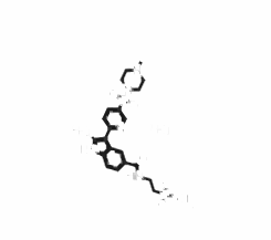 CN1CCN(S(=O)(=O)c2ccc(-c3c(O)[nH]c4ccc(C(=O)NCCS(N)(=O)=O)cc34)nc2)CC1.Cl